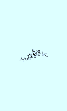 CCCCOc1ccc(OC(=O)[C@]2(C#N)CO[C@H](CCCC)OC2)cc1